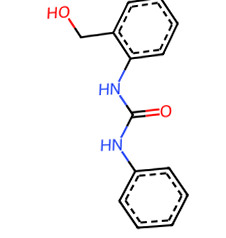 O=C(Nc1ccccc1)Nc1ccccc1CO